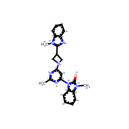 Cc1nc(N2CC(c3nc4ccccc4n3C)C2)cc(-n2c(=O)n(C)c3ccccc32)n1